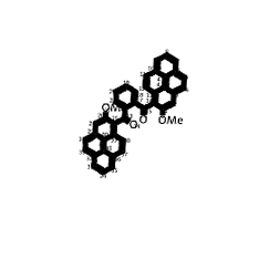 COc1cc2ccc3cccc4ccc(c1C(=O)c1ccccc1C(=O)c1c(OC)cc5ccc6cccc7ccc1c5c67)c2c34